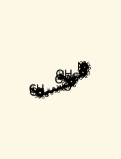 COc1ccc(CCCCCCCCOc2ccc(SCc3ccc4cccnc4c3)nc2C=CC(=O)O)cc1